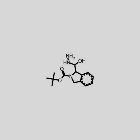 CC(C)(C)OC(=O)N1Cc2ccccc2C1C(O)NN